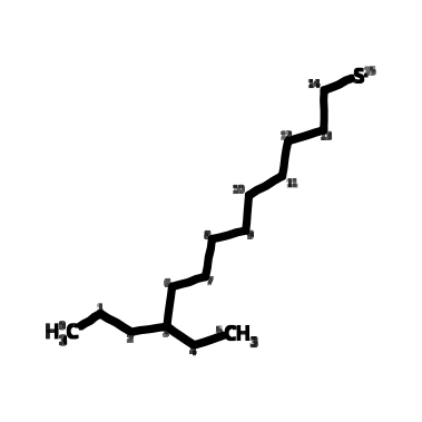 CCCC(CC)CCCCCCCCC[S]